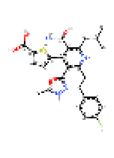 Cc1nnc(-c2c(CCc3ccc(F)cc3)nc(CC(C)C)c(C(N)=O)c2-c2ccc(C(=O)O)s2)o1